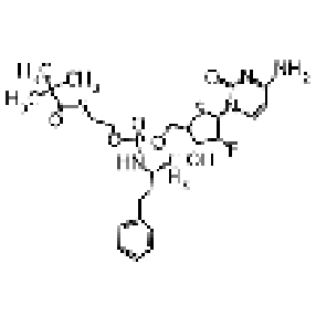 C[C@@H](CCc1ccccc1)NP(=O)(OCCSC(=O)C(C)(C)C)OC[C@H]1S[C@@H](n2ccc(N)nc2=O)[C@@H](F)[C@@H]1O